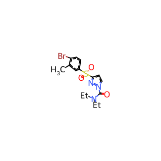 CCN(CC)C(=O)n1ccc(S(=O)(=O)c2ccc(Br)c(C)c2)n1